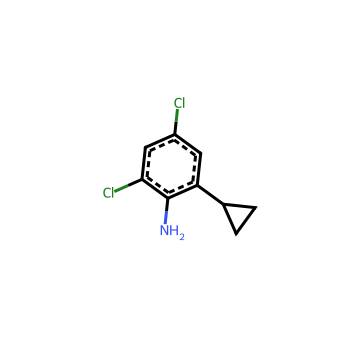 Nc1c(Cl)cc(Cl)cc1C1CC1